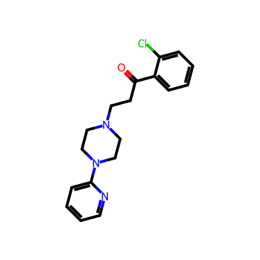 O=C(CCN1CCN(c2ccccn2)CC1)c1ccccc1Cl